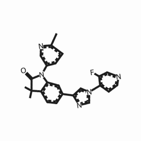 Cc1ccc(N2C(=O)C(C)(C)c3ccc(-c4cn(-c5ccncc5F)cn4)cc32)cn1